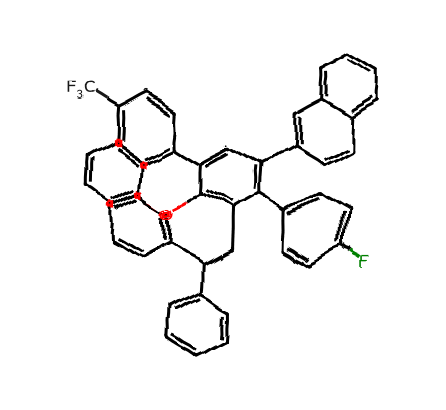 Fc1ccc(-c2c(-c3ccc4ccccc4c3)[c]c(-c3ccc(C(F)(F)F)cc3)c(Oc3ccccc3)c2CC(c2ccccc2)c2ccccc2)cc1